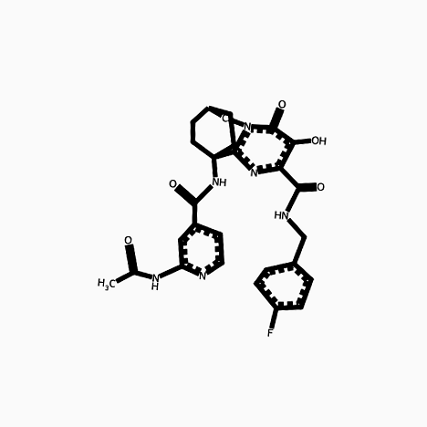 CC(=O)Nc1cc(C(=O)NC23CCC(CC2)Cn2c3nc(C(=O)NCc3ccc(F)cc3)c(O)c2=O)ccn1